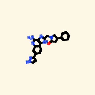 Nc1nc2cc(-c3cc[nH]n3)ccc2c2[nH]c(CN3CC(c4ccccc4)CC3=O)nc12